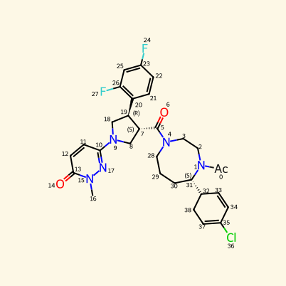 CC(=O)N1CCN(C(=O)[C@@H]2CN(c3ccc(=O)n(C)n3)C[C@H]2c2ccc(F)cc2F)CCC[C@H]1C1C=CC(Cl)=CC1